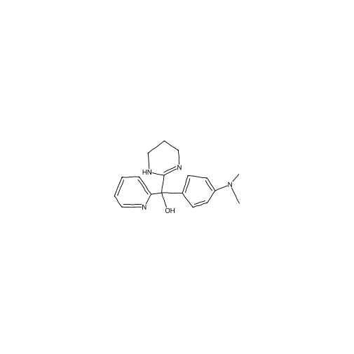 CN(C)c1ccc(C(O)(C2=NCCCN2)c2ccccn2)cc1